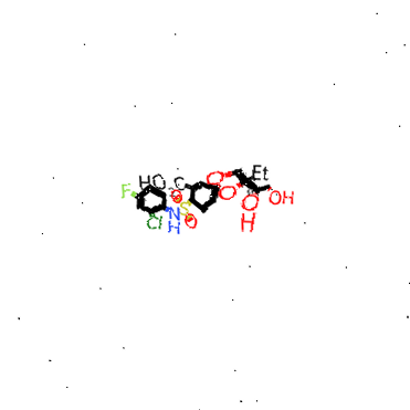 CC[C@]1([C@H](O)CO)COC2(C=C(C(=O)O)C(S(=O)(=O)Nc3ccc(F)cc3Cl)CC2)O1